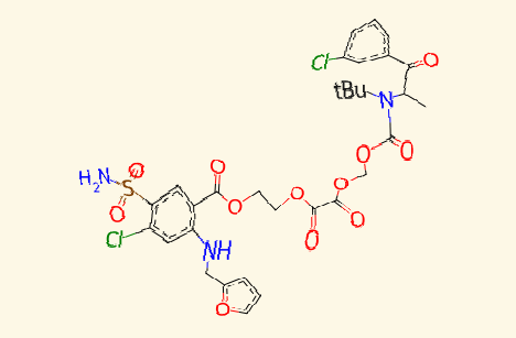 CC(C(=O)c1cccc(Cl)c1)N(C(=O)OCOC(=O)C(=O)OCCOC(=O)c1cc(S(N)(=O)=O)c(Cl)cc1NCc1ccco1)C(C)(C)C